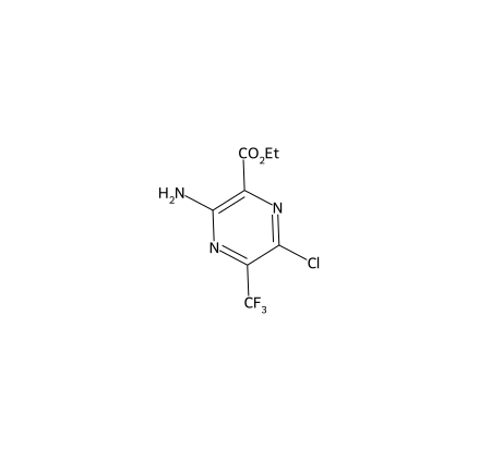 CCOC(=O)c1nc(Cl)c(C(F)(F)F)nc1N